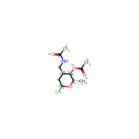 C[C@@H]1O[C@@H](Cl)C[C@@H](CNC(=O)C(F)(F)F)[C@H]1OC(=O)C(F)(F)F